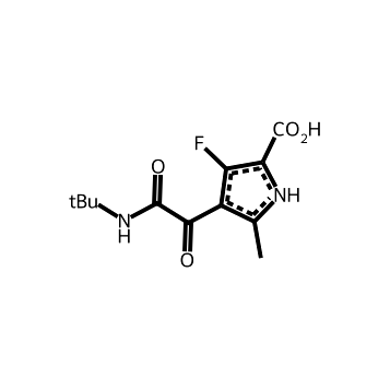 Cc1[nH]c(C(=O)O)c(F)c1C(=O)C(=O)NC(C)(C)C